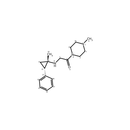 CN1CCN(C(=O)CN[C@@]2(C)C[C@H]2c2ccccc2)CC1